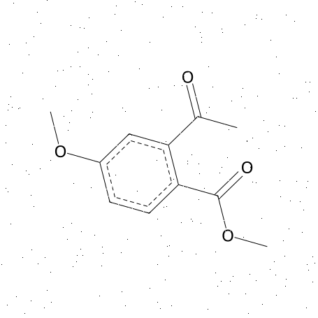 COC(=O)c1ccc(OC)cc1C(C)=O